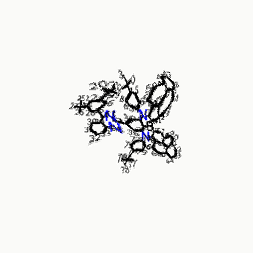 CC(C)(C)c1ccc(N2c3cc(-c4nc(-c5cc(C(C)(C)C)cc(C(C)(C)C)c5)c5ccccc5n4)cc4c3B(c3cc5ccc6cccc7ccc(c32)c5c67)c2cc3ccc5cccc6ccc(c2N4c2ccc(C(C)(C)C)cc2)c3c56)cc1